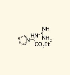 CCOC(=O)C(NC(=N)N)n1cccc1